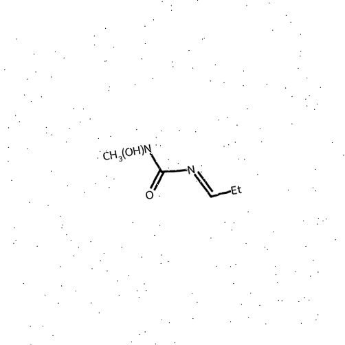 CCC=NC(=O)N(C)O